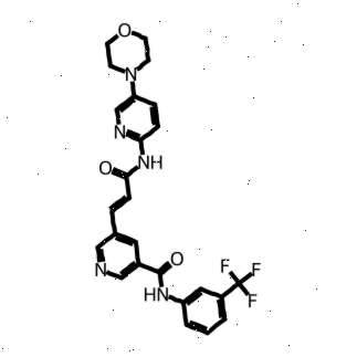 O=C(C=Cc1cncc(C(=O)Nc2cccc(C(F)(F)F)c2)c1)Nc1ccc(N2CCOCC2)cn1